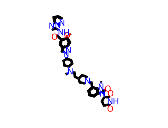 COc1cc2nn(C3CCC(N(C)CCC4CCN(Cc5cccc6c5n(C)c(=O)n6C5CCC(=O)NC5=O)CC4)CC3)cc2cc1C(=O)Nc1cnc2cccnn12